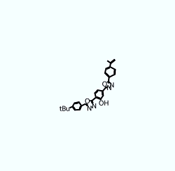 C=C(C)c1ccc(-c2nnc(-c3ccc(-c4nnc(-c5ccc(C(C)(C)C)cc5)o4)c(O)c3)o2)cc1